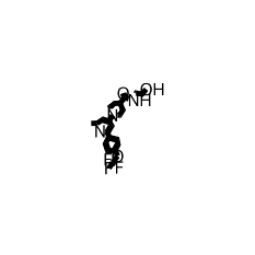 Cc1cc(N2CCC(C(=O)NCCO)CC2)cc(-c2ccc(OC(F)(F)F)cc2)n1